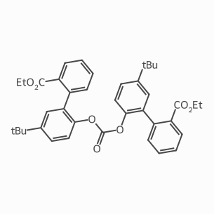 CCOC(=O)c1ccccc1-c1cc(C(C)(C)C)ccc1OC(=O)Oc1ccc(C(C)(C)C)cc1-c1ccccc1C(=O)OCC